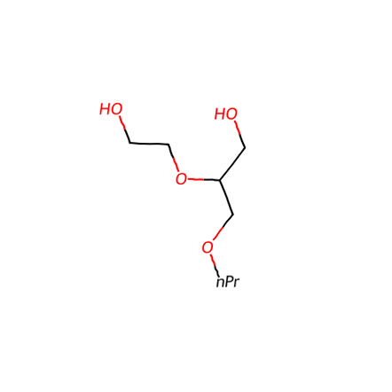 CCCOCC(CO)OCCO